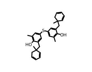 Cc1cc(Sc2cc(C)c(O)c(CC3(C)C=CC=CC3)c2)cc(CC2(C)C=CC=CC2)c1O